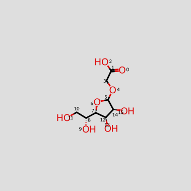 O=C(O)COC1O[C@H]([C@H](O)CO)[C@H](O)[C@@H]1O